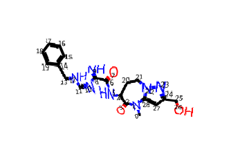 CN1C(=O)[C@@H](NC(=O)C(=N)/N=C\NCc2ccccc2)CCn2nc(CO)cc21